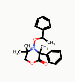 CC(ON1C(C)(C)COC(=O)C1(C)c1ccccc1)c1ccccc1